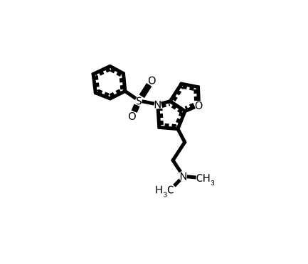 CN(C)CCc1cn(S(=O)(=O)c2ccccc2)c2ccoc12